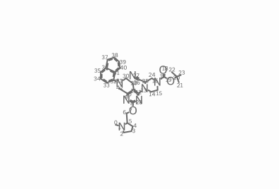 CN1CCCC1COc1nc2c(c(N3CCN(C(=O)OC(C)(C)C)CC3C#N)n1)CCN(c1cccc3ccccc13)C2